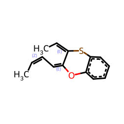 C\C=C/C=C1/Oc2ccccc2S/C1=C/C